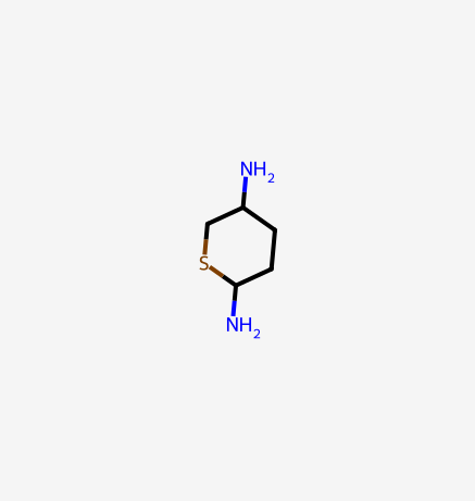 NC1CCC(N)SC1